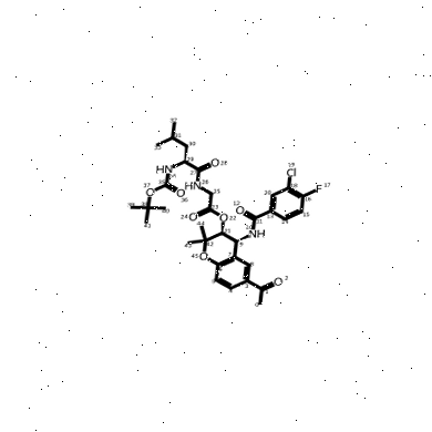 CC(=O)c1ccc2c(c1)[C@H](NC(=O)c1ccc(F)c(Cl)c1)[C@H](OC(=O)CNC(=O)[C@H](CC(C)C)NC(=O)OC(C)(C)C)C(C)(C)O2